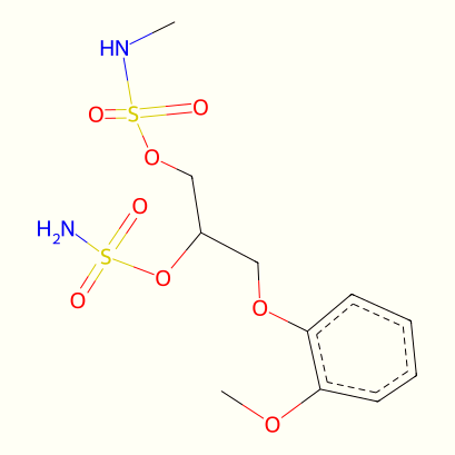 CNS(=O)(=O)OCC(COc1ccccc1OC)OS(N)(=O)=O